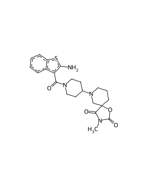 CN1C(=O)OC2(CCCN(C3CCN(C(=O)c4c(N)sc5ccccc45)CC3)C2)C1=O